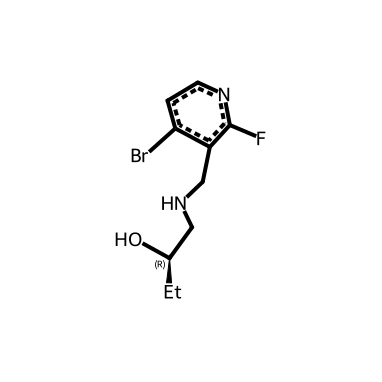 CC[C@@H](O)CNCc1c(Br)ccnc1F